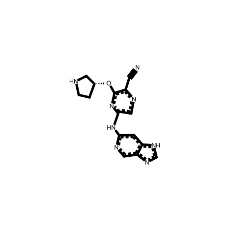 N#Cc1ncc(Nc2cc3[nH]cnc3cn2)nc1O[C@@H]1CCNC1